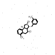 CCN1C[C@@H]2c3cccc(C(F)(F)F)c3CCC2[C@H]1Cc1cccc(C)c1.Cl